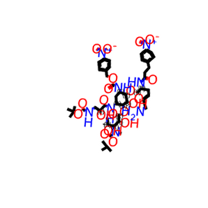 CN(C(=O)OC(C)(C)C)[C@@H]1[C@@H](O)[C@@H](O[C@@H]2[C@@H](O)[C@H](O[C@H]3OC(CN)=CC[C@H]3NC(=O)CCc3ccc([N+](=O)[O-])cc3)[C@@H](NC(=O)OCc3ccc([N+](=O)[O-])cc3)C[C@H]2NC(=O)[C@@H](O)CNC(=O)OC(C)(C)C)OC[C@]1(C)O